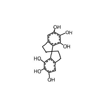 Oc1cc2c(c(O)c1O)C1(CC2)CCc2cc(O)c(O)c(O)c21